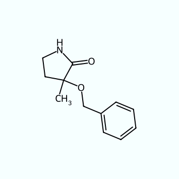 CC1(OCc2ccccc2)CCNC1=O